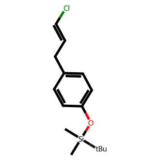 CC(C)(C)[Si](C)(C)Oc1ccc(CC=CCl)cc1